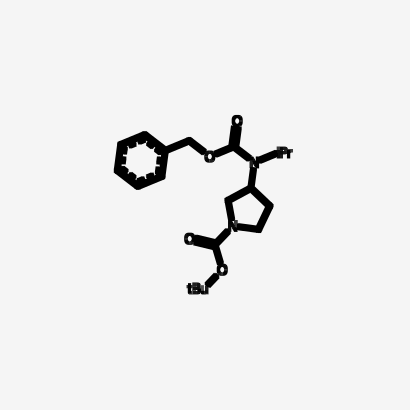 CC(C)N(C(=O)OCc1ccccc1)C1CCN(C(=O)OC(C)(C)C)C1